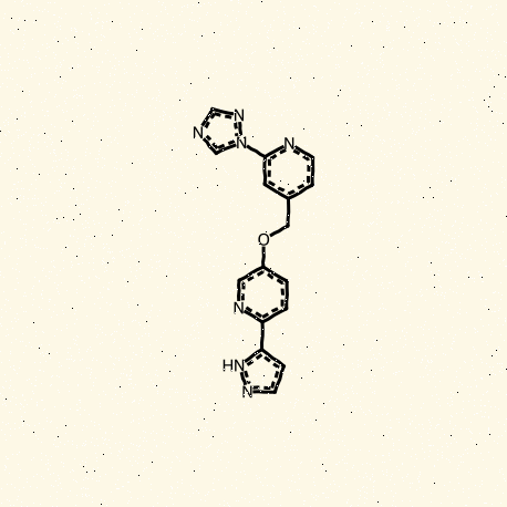 c1cc(-c2ccc(OCc3ccnc(-n4cncn4)c3)cn2)[nH]n1